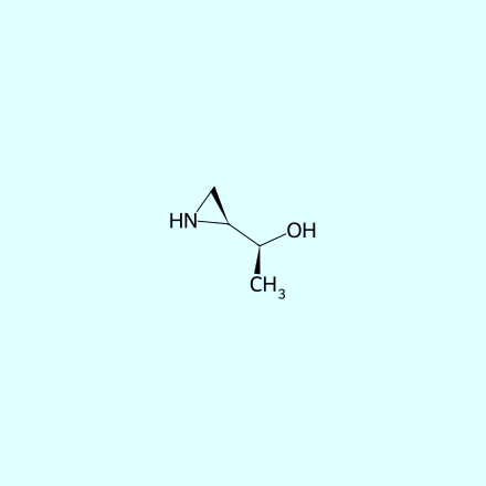 C[C@H](O)[C@@H]1CN1